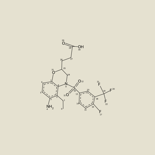 CCc1c(N)ccc2c1N(S(=O)(=O)c1ccc(F)c(C(F)(F)F)c1)CC(CCC(=O)O)O2